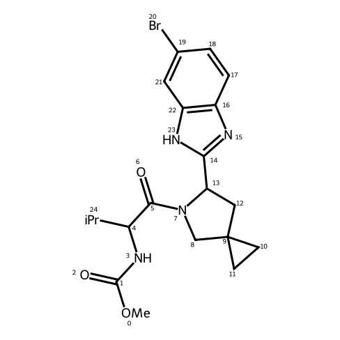 COC(=O)NC(C(=O)N1CC2(CC2)CC1c1nc2ccc(Br)cc2[nH]1)C(C)C